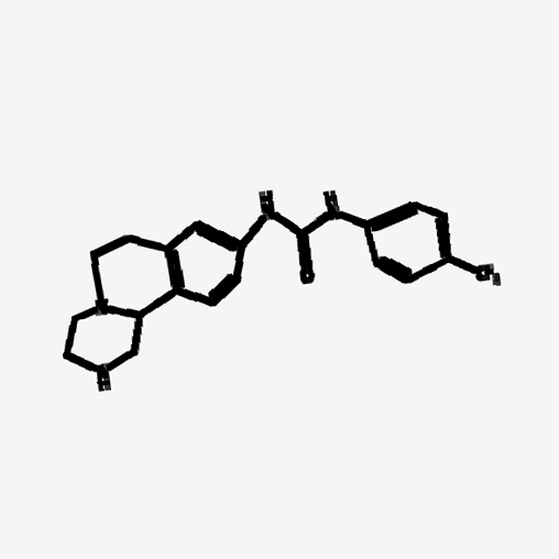 O=C(Nc1ccc(C(F)(F)F)cc1)Nc1ccc2c(c1)CCN1CCNCC21